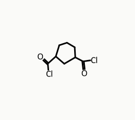 O=C(Cl)C1CCCC(C(=O)Cl)C1